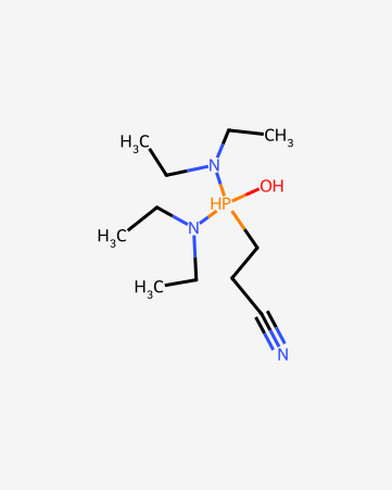 CCN(CC)[PH](O)(CCC#N)N(CC)CC